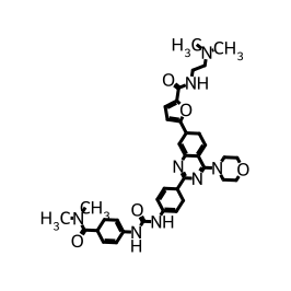 CN(C)CCNC(=O)c1ccc(C2C=c3nc(C4C=CC(NC(=O)NC5=CCC(C(=O)N(C)C)C=C5)=CC4)nc(N4CCOCC4)c3=CC2)o1